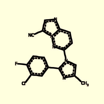 Cc1cn(-c2ccc3ncc(C#N)n3n2)c(-c2ccc(F)c(Cl)c2)n1